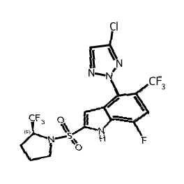 O=S(=O)(c1cc2c(-n3ncc(Cl)n3)c(C(F)(F)F)cc(F)c2[nH]1)N1CCC[C@H]1C(F)(F)F